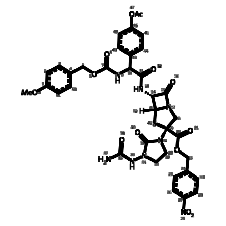 COc1ccc(COC(=O)NC(C(=O)N[C@@H]2C(=O)N3C[C@@](C(=O)OCc4ccc([N+](=O)[O-])cc4)(N4CCN(NC(N)=O)C4=O)S[C@H]23)c2ccc(OC(C)=O)cc2)cc1